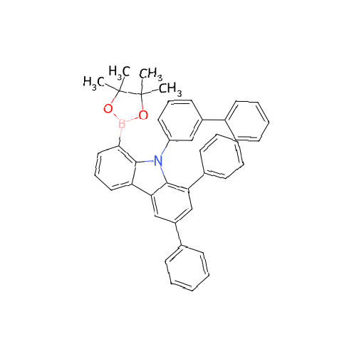 CC1(C)OB(c2cccc3c4cc(-c5ccccc5)cc(-c5ccccc5)c4n(-c4cccc(-c5ccccc5)c4)c23)OC1(C)C